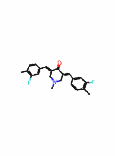 Cc1ccc(/C=C2\CN(C)C/C(=C\c3ccc(C)c(F)c3)C2=O)cc1F